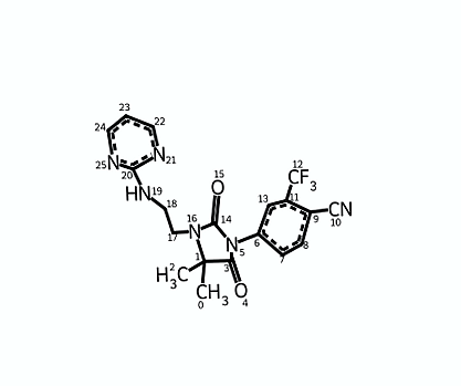 CC1(C)C(=O)N(c2ccc(C#N)c(C(F)(F)F)c2)C(=O)N1CCNc1ncccn1